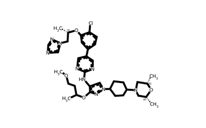 COCCC(C)Oc1nn(C2CCC(N3C[C@@H](C)O[C@@H](C)C3)CC2)cc1Nc1ncc(-c2ccc(Cl)c(O[C@@H](C)Cn3cncn3)c2)cn1